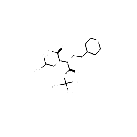 CC(C)C[C@@H](C(=O)O)[C@@H](CCC1CCOCC1)C(=O)OC(C)(C)C